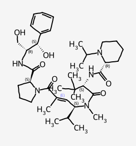 C/C(=C\[C@H](C(C)C)N(C)C(=O)[C@@H](NC(=O)[C@H]1CCCCN1C(C)C)C(C)(C)C)C(=O)N1CCC[C@H]1C(=O)N[C@H](CO)[C@@H](O)c1ccccc1